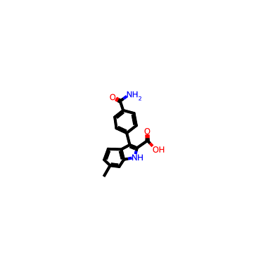 Cc1ccc2c(-c3ccc(C(N)=O)cc3)c(C(=O)O)[nH]c2c1